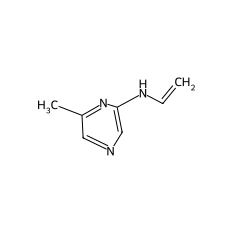 C=CNc1cncc(C)n1